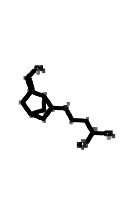 CC=C1CC2CC(OCCC(C)C)C1C2